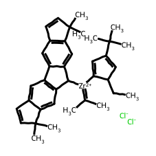 CCC1C=C(C(C)(C)C)C=[C]1[Zr+2](=[C](C)C)[CH]1c2cc3c(cc2-c2cc4c(cc21)C(C)(C)C=C4)C=CC3(C)C.[Cl-].[Cl-]